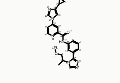 CCOCC(C)n1cnnc1-c1cccc(NC(=O)c2cc(-n3cnc(C4CC4)c3)ccn2)c1